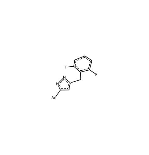 CC(=O)c1cn(Cc2c(F)cccc2F)nn1